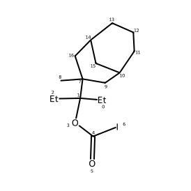 CCC(CC)(OC(=O)I)C1(C)CC2CCCC(C2)C1